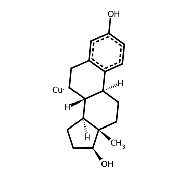 C[C@]12CC[C@@H]3c4ccc(O)cc4CC[C@H]3[C@@H]1CC[C@@H]2O.[Cu]